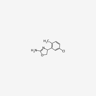 Cc1ccc(Cl)cc1C1COC(N)=N1